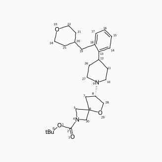 CC(C)(C)OC(=O)N1CC2(C[C@H](N3CCC(c4ccccc4CC4CCOCC4)CC3)CO2)C1